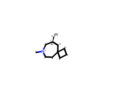 CC(C)[C@@H]1CN(C)CCC2(CCC2)C1